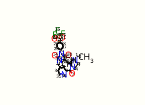 CCN1CCN(C(=O)c2cc(CN3C(=O)N(c4ccc(S(=O)(=O)C(F)(F)F)cc4)C(=O)C3(C)C)ccn2)CC1